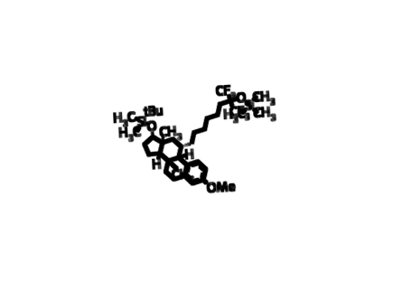 C=CC12CCc3cc(OC)ccc3[C@H]1[C@@H](CCCCCCC(O[Si](C)(C)C)(C(F)(F)F)C(F)(F)F)C[C@]1(C)[C@@H](O[Si](C)(C)C(C)(C)C)CC[C@@H]21